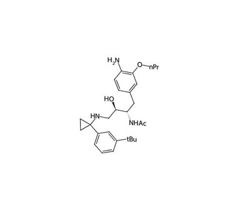 CCCOc1cc(C[C@H](NC(C)=O)[C@H](O)CNC2(c3cccc(C(C)(C)C)c3)CC2)ccc1N